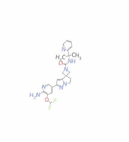 CC(C)(NC(=O)N1CC2(CCn3nc(-c4cnc(N)c(OC(F)F)c4)cc32)C1)c1ccccn1